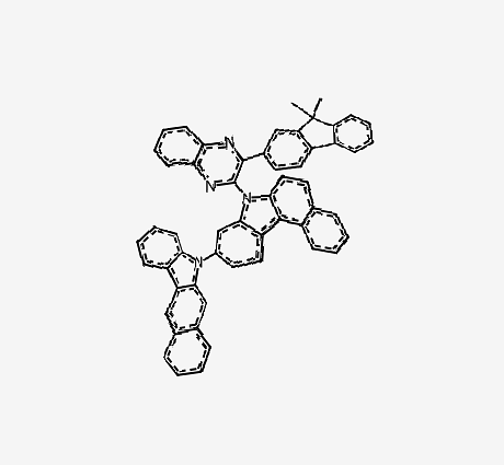 CC1(C)c2ccccc2-c2ccc(-c3nc4ccccc4nc3-n3c4cc(-n5c6ccccc6c6cc7ccccc7cc65)ccc4c4c5ccccc5ccc43)cc21